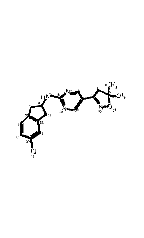 CC1(C)CC(c2cnc(NC3Cc4ccc(Cl)cc4C3)nc2)=NO1